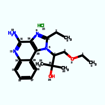 CCOCC(n1c(CC)nc2c(N)nc3ccccc3c21)C(C)(C)O.Cl